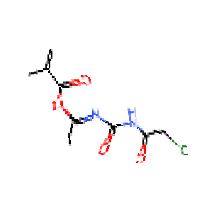 C=C(C)C(=O)OC(C)=NC(=O)NC(=O)CCl